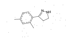 Cc1ccc(C2=NNCC2)c(C)c1